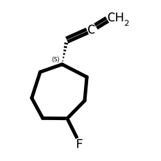 C=C=C[C@H]1CCCC(F)CC1